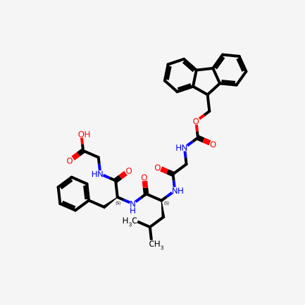 CC(C)C[C@H](NC(=O)CNC(=O)OCC1c2ccccc2-c2ccccc21)C(=O)N[C@@H](Cc1ccccc1)C(=O)NCC(=O)O